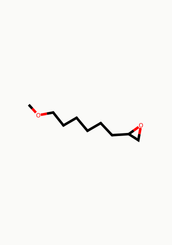 COCCCCCCC1CO1